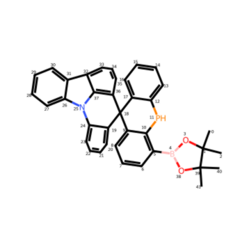 CC1(C)OB(c2cccc3c2Pc2ccccc2C32c3ccccc3-n3c4ccccc4c4cccc2c43)OC1(C)C